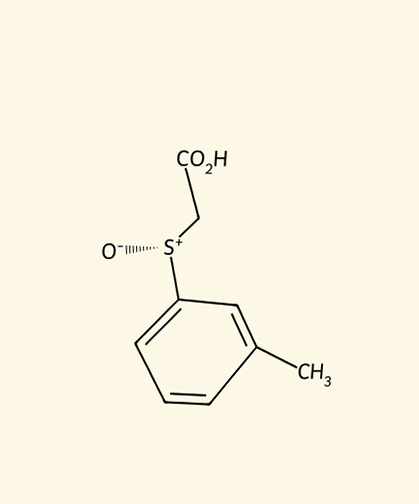 Cc1cccc([S@+]([O-])CC(=O)O)c1